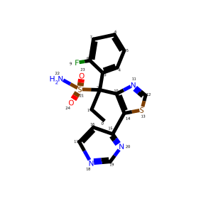 CCC(c1ccccc1F)(c1ncsc1-c1ccncn1)S(N)(=O)=O